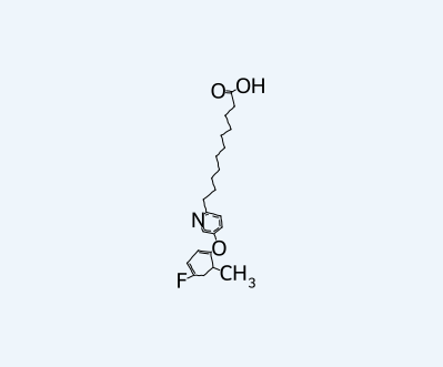 CC1CC(F)=CC=C1Oc1ccc(CCCCCCCCCCC(=O)O)nc1